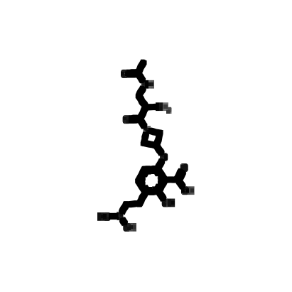 CC(=O)NCC(N)C(=O)N1CC(Oc2ccc(CCB(O)O)c(O)c2C(=O)O)C1